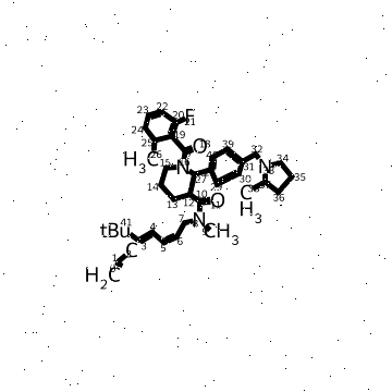 C=CC/C(=C\C=C/CN(C)C(=O)C1CCCN(C(=O)C2=C(F)C=CCC2C)C1c1ccc(CN2CCCC2C)cc1)C(C)(C)C